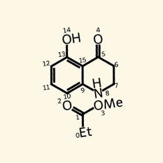 CCC(=O)OC.O=C1CCNc2cccc(O)c21